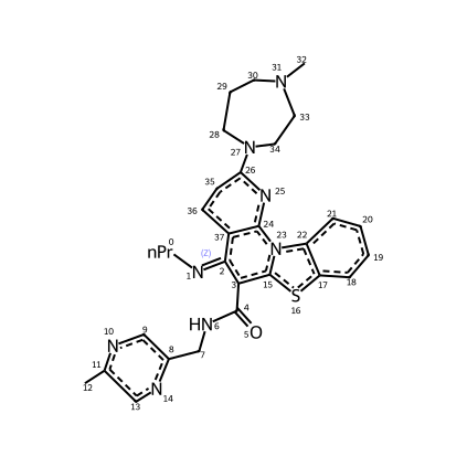 CCC/N=c1/c(C(=O)NCc2cnc(C)cn2)c2sc3ccccc3n2c2nc(N3CCCN(C)CC3)ccc12